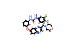 O=C(Nc1cccc(Oc2ccc3ncc(CN4CCOCC4)nc3c2)c1)Nc1ccc(Cl)c(F)c1